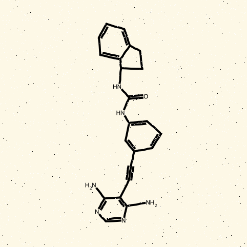 Nc1ncnc(N)c1C#Cc1cccc(NC(=O)NC2CCc3ccccc32)c1